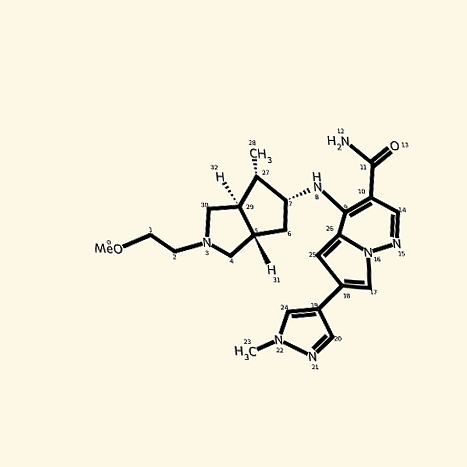 COCCN1C[C@H]2C[C@@H](Nc3c(C(N)=O)cnn4cc(-c5cnn(C)c5)cc34)[C@@H](C)[C@@H]2C1